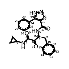 O=C(NC1CC1)C(=O)[C@H](Cc1ccccc1)NC(=O)c1nn[nH]c1-c1ccccc1